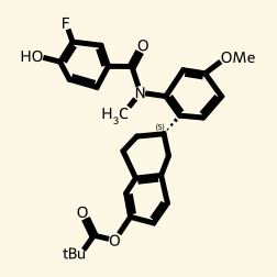 COc1ccc([C@H]2CCc3cc(OC(=O)C(C)(C)C)ccc3C2)c(N(C)C(=O)c2ccc(O)c(F)c2)c1